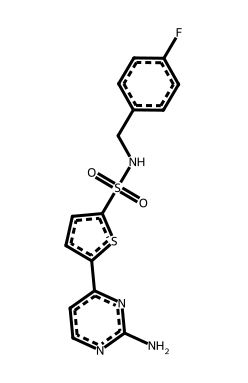 Nc1nccc(-c2ccc(S(=O)(=O)NCc3ccc(F)cc3)s2)n1